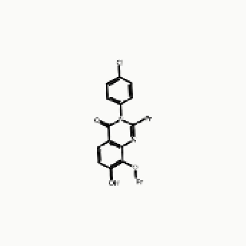 CC(C)Oc1c(O)ccc2c(=O)n(-c3ccc(Cl)cc3)c(C(C)C)nc12